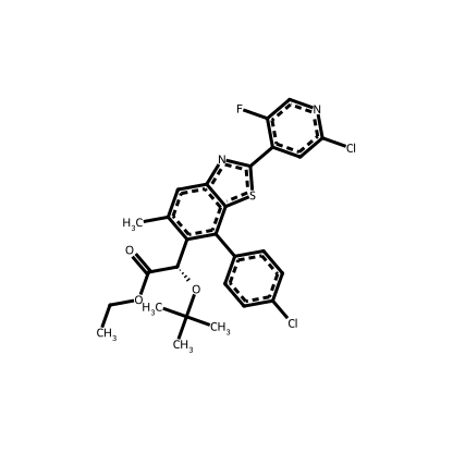 CCOC(=O)[C@@H](OC(C)(C)C)c1c(C)cc2nc(-c3cc(Cl)ncc3F)sc2c1-c1ccc(Cl)cc1